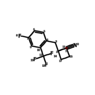 N#CC1(Cc2ccc(F)cc2C(F)(F)F)CCC1